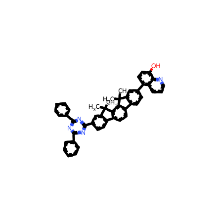 CC1(C)c2cc(-c3nc(-c4ccccc4)nc(-c4ccccc4)n3)ccc2-c2ccc3c(c21)C(C)(C)c1cc(-c2ccc(O)c4ncccc24)ccc1-3